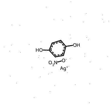 O=[N+]([O-])[O-].Oc1ccc(O)cc1.[Ag+]